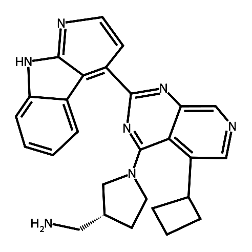 NC[C@H]1CCN(c2nc(-c3ccnc4[nH]c5ccccc5c34)nc3cncc(C4CCC4)c23)C1